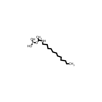 CCCCCCCCCCCCNC(C)OP(O)O